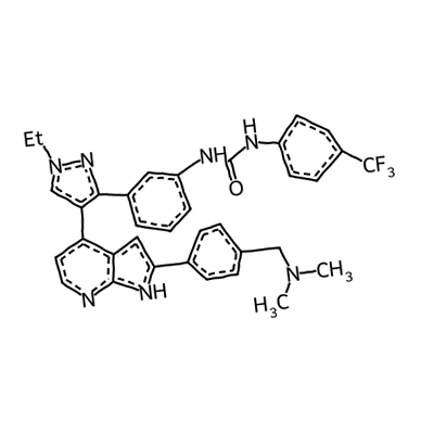 CCn1cc(-c2ccnc3[nH]c(-c4ccc(CN(C)C)cc4)cc23)c(-c2cccc(NC(=O)Nc3ccc(C(F)(F)F)cc3)c2)n1